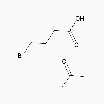 CC(C)=O.O=C(O)CCCBr